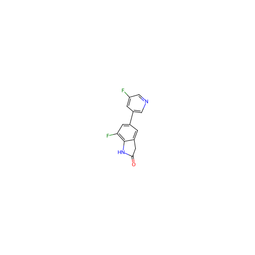 O=C1Cc2cc(-c3cncc(F)c3)cc(F)c2N1